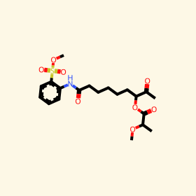 COC(C)C(=O)OC(CCCCCC(=O)Nc1ccccc1S(=O)(=O)OC)C(C)=O